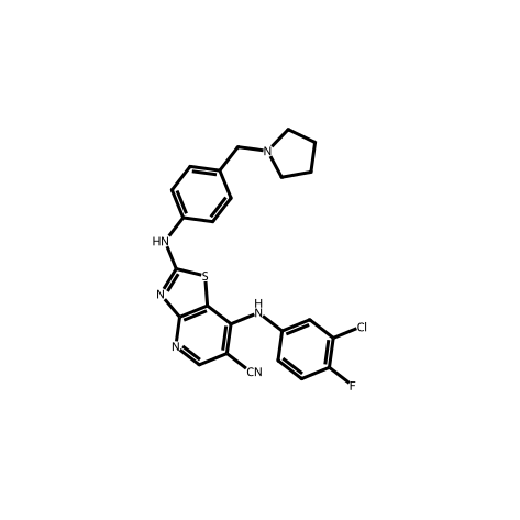 N#Cc1cnc2nc(Nc3ccc(CN4CCCC4)cc3)sc2c1Nc1ccc(F)c(Cl)c1